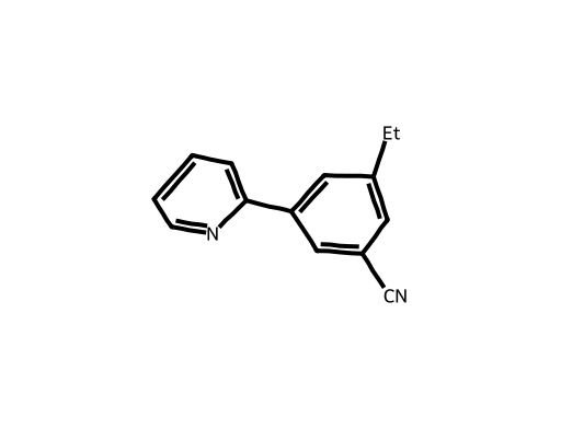 CCc1cc(C#N)cc(-c2ccccn2)c1